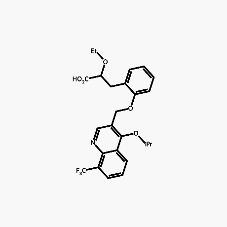 CCOC(Cc1ccccc1OCc1cnc2c(C(F)(F)F)cccc2c1OC(C)C)C(=O)O